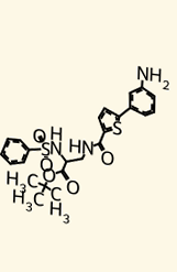 CC(C)(C)OC(=O)C(CNC(=O)c1ccc(-c2cccc(N)c2)s1)NS(=O)(=O)c1ccccc1